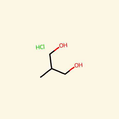 CC(CO)CO.Cl